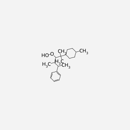 CC1CCC(C(C)(C)C(OO)C(C)C(C)c2ccccc2)CC1